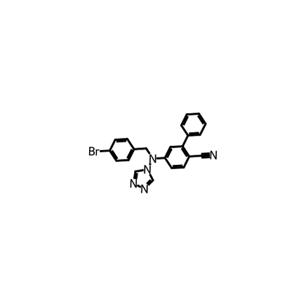 N#Cc1ccc(N(Cc2ccc(Br)cc2)n2cnnc2)cc1-c1ccccc1